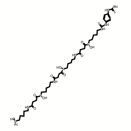 CC(=O)N(O)CCCCCNC(=O)CCC(=O)N(O)CCCCCNC(=O)CCC(=O)N(O)CCCCCNC(=O)CCC(=O)N(O)CCCCCNC(=S)Nc1ccc(NC(=S)C(C)(C)C)cc1